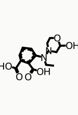 CCN(c1cccc(C(=O)O)c1C(=O)O)N1CCOC(O)C1